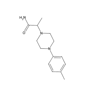 Cc1ccc(N2CCN(C(C)C(N)=O)CC2)cc1